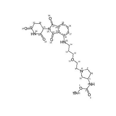 CC(C)(C)OC(=O)NC1CCN(CCOCCCNc2cccc3c2C(=O)N(C2CCC(=O)NC2=O)C3=O)C1